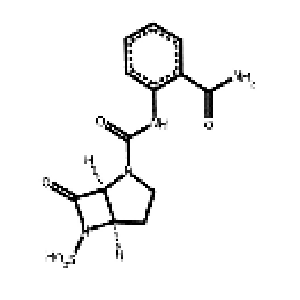 NC(=O)c1ccccc1NC(=O)N1CC[C@@H]2[C@H]1C(=O)N2S(=O)(=O)O